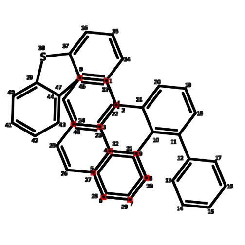 c1ccc(-c2ccccc2-c2c(-c3ccccc3)cccc2N(c2cccc3ccccc23)c2cccc3sc4ccccc4c23)cc1